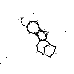 OCc1ccc2[nH]c3c(c2c1)CCN1CCCC3C1